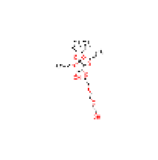 C=CCOC(C(CO)OCCOCCOCCO)C(OCC=C)(OCC=C)OCC=C